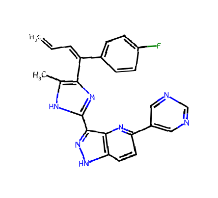 C=C/C=C(/c1ccc(F)cc1)c1nc(-c2n[nH]c3ccc(-c4cncnc4)nc23)[nH]c1C